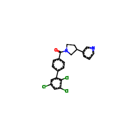 O=C(c1ccc(-c2cc(Cl)cc(Cl)c2Cl)cc1)N1CCC(c2cccnc2)C1